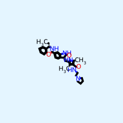 CC[C@H](NC(=O)c1ccc2c(c1)NC(=O)/C2=C\c1[nH]c(C)c(C(=O)NCCN2CCCC2)c1C)c1ccccc1